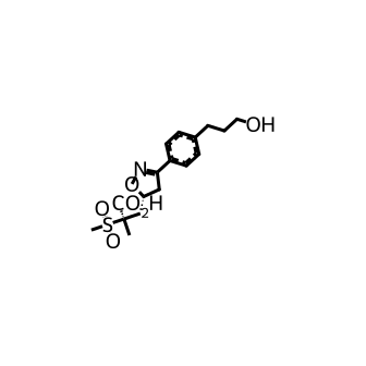 C[C@@](C[C@H]1CC(c2ccc(CCCO)cc2)=NO1)(C(=O)O)S(C)(=O)=O